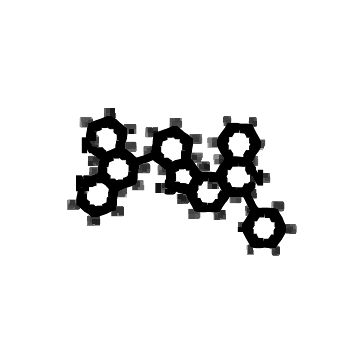 c1ccc(-c2nc3ccccc3c3c2ccc2sc4c(-c5cc6cccnc6c6ncccc56)cccc4c23)cc1